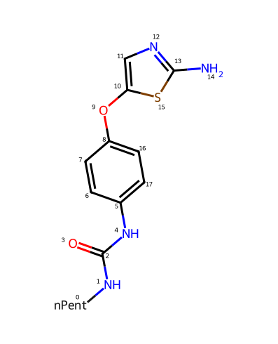 CCCCCNC(=O)Nc1ccc(Oc2cnc(N)s2)cc1